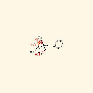 CCC(CC)(CCc1ccccc1)C(CC)(C(=O)O)P(=O)(O)O